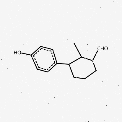 CC1C(C=O)CCCC1c1ccc(O)cc1